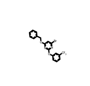 FC(F)(F)c1cccc(Oc2nc(Br)cc(OCc3ccccc3)n2)c1